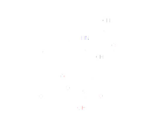 CC(=O)NC(C)(CCS(=O)(=O)O)CC1CCC(=O)O1